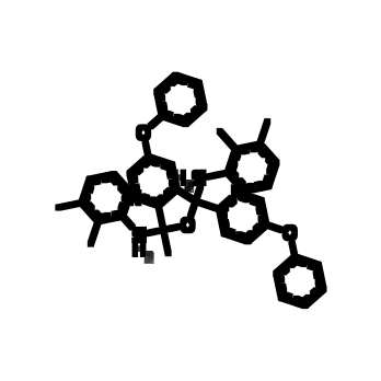 Cc1cccc([SiH2]C(C)(OC(C)([SiH2]c2cccc(C)c2C)c2ccc(Oc3ccccc3)cn2)c2ccc(Oc3ccccc3)cn2)c1C